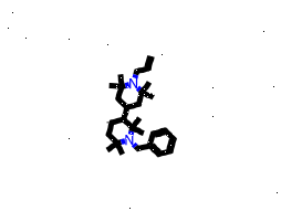 C=CCN1C(C)(C)CC(C2[CH]CC(C)(C)N(Cc3ccccc3)C2(C)C)CC1(C)C